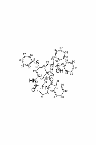 CC1(C(=O)N2CCC[C@]23C[C@H]2C(=C[C@H](Sc4ccccc4)[C@@H](CC(C)(C)[Si](O)(c4ccccc4)c4ccccc4)C2(C)C)NC3=O)C=CCC=C1